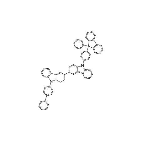 C1=C(c2ccc3c(c2)c2ccccc2n3-c2ccc(C3(c4ccccc4)c4ccccc4-c4ccccc43)cc2)C=C2c3ccccc3N(c3ccc(-c4ccccc4)cc3)C2C1